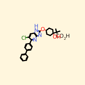 CC(C)(C(=O)O)[C@]1(O)CC[C@@H](Oc2nc3nc(-c4ccc(-c5ccccc5)cc4)c(Cl)cc3[nH]2)CC1